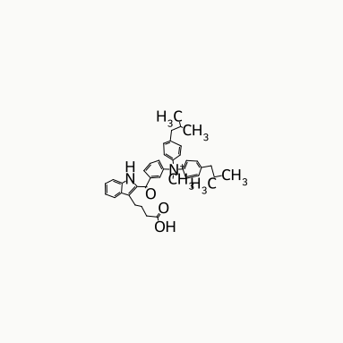 CC(C)Cc1ccc([N+](C)(c2ccc(CC(C)C)cc2)c2cccc(C(=O)c3[nH]c4ccccc4c3CCCC(=O)O)c2)cc1